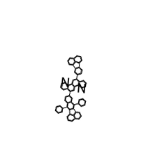 c1ccc(-c2c3c(c(-c4ccccc4)c4cc(-c5cc6c(cc(-c7ccc8c(c7)-c7cccc9cccc-8c79)c7cccnc76)c6ncccc56)ccc24)-c2cccc4cccc-3c24)cc1